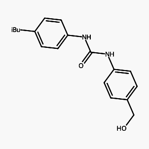 CCC(C)c1ccc(NC(=O)Nc2ccc(CO)cc2)cc1